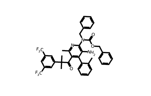 Cc1ccccc1-c1c(N)c(N(Cc2ccccc2)C(=O)OCc2ccccc2)nc(C)c1C(=O)C(C)(C)c1cc(C(F)(F)F)cc(C(F)(F)F)c1